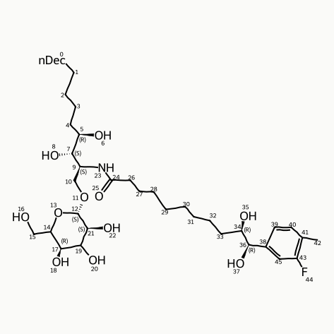 CCCCCCCCCCCCCC[C@@H](O)[C@@H](O)[C@H](CO[C@H]1OC(CO)[C@H](O)C(O)[C@@H]1O)NC(=O)CCCCCCCC[C@@H](O)[C@H](O)c1ccc(C)c(F)c1